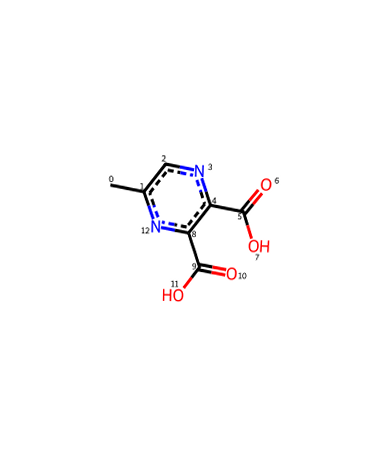 Cc1cnc(C(=O)O)c(C(=O)O)n1